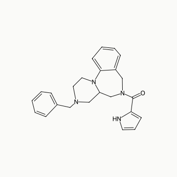 O=C(c1ccc[nH]1)N1Cc2ccccc2N2CCN(Cc3ccccc3)CC2C1